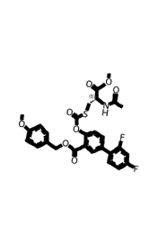 COC(=O)[C@@H](CSC(=O)Oc1ccc(-c2ccc(F)cc2F)cc1C(=O)OCc1ccc(OC)cc1)NC(C)=O